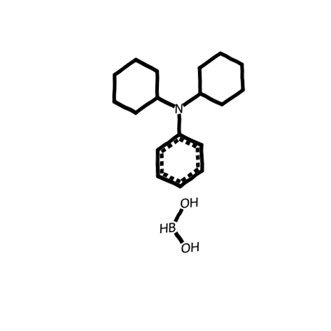 OBO.c1ccc(N(C2CCCCC2)C2CCCCC2)cc1